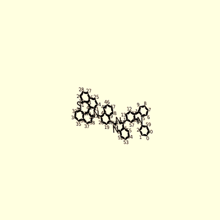 c1ccc(-n2c3ccccc3c3ccc(-c4nc(-c5ccc(-n6c7ccc8cccc9sc%10cccc%11ccc6c(c%11%10)c7c89)c6ccccc56)nc5ccccc45)cc32)cc1